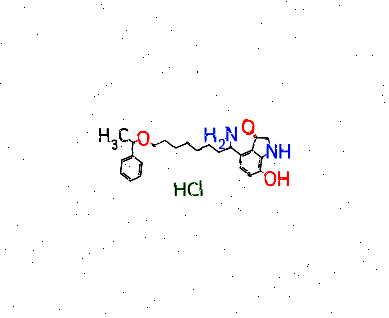 CC(OCCCCCCCC(N)c1ccc(O)c2c1C(=O)CN2)c1ccccc1.Cl